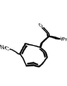 CC(C)C(=O)c1cccc(C#N)c1